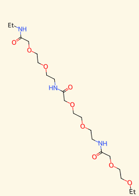 CCNC(=O)COCCOCCNC(=O)COCCOCCNC(=O)COCCOCC